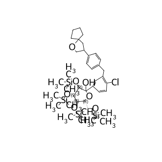 C[Si](C)(C)OC[C@H]1OC(O)(c2ccc(Cl)c(Cc3ccc(C4COC5(CCCC5)C4)cc3)c2)[C@H](O[Si](C)(C)C)[C@@H](O[Si](C)(C)C)[C@@H]1O[Si](C)(C)C